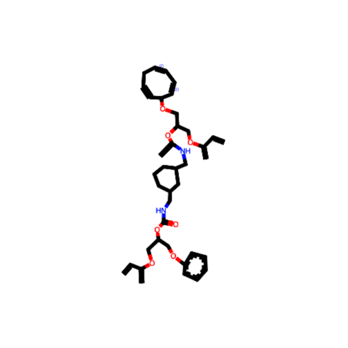 C=CC(=C)OCC(COC1C#CC/C=C\C=C/1)OC(=C)NCC1CCCC(CNC(=O)OC(COC(=C)C=C)COc2ccccc2)C1